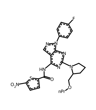 CCCOCC1CCCN1c1nc(NC(=O)c2ccc([N+](=O)[O-])s2)c2cnn(-c3ccc(F)cc3)c2n1